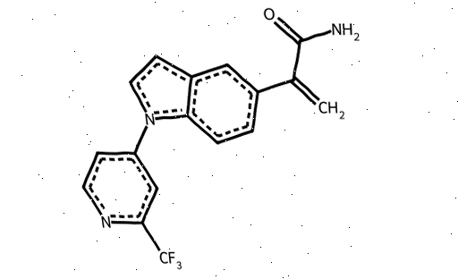 C=C(C(N)=O)c1ccc2c(ccn2-c2ccnc(C(F)(F)F)c2)c1